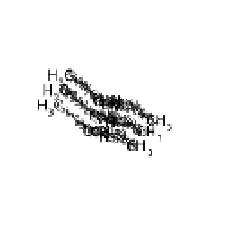 CCCCCCCCCCCCOc1ccc(-c2ncc([C@H]3CC[C@H](CCCC)CC3)cn2)cc1.CCCCCCCCCCCCOc1ccc(-c2ncc([C@H]3CC[C@H](CCCCC)CC3)cn2)cc1.CCCCCCCCCCCCOc1ccc(-c2ncc([C@H]3CC[C@H](CCCCCCC)CC3)cn2)cc1